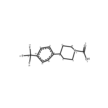 O=C(O)N1CCC(c2ccc(C(F)(F)F)cc2)CC1